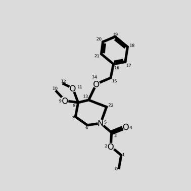 CCOC(=O)N1CCC(OC)(OC)C(OCc2ccccc2)C1